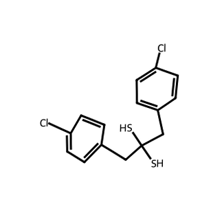 SC(S)(Cc1ccc(Cl)cc1)Cc1ccc(Cl)cc1